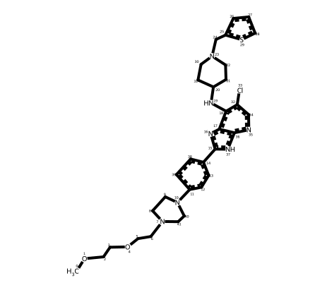 COCCOCCN1CCN(c2ccc(-c3nc4c(NC5CCN(Cc6cccs6)CC5)c(Cl)cnc4[nH]3)cc2)CC1